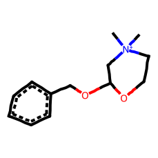 C[N+]1(C)CCOC(OCc2ccccc2)C1